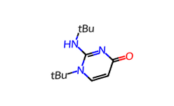 CC(C)(C)Nc1nc(=O)ccn1C(C)(C)C